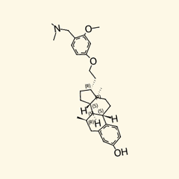 COc1cc(OCC[C@H]2CC[C@H]3[C@@H]4[C@H](C)Cc5cc(O)ccc5[C@H]4CC[C@]23C)ccc1CN(C)C